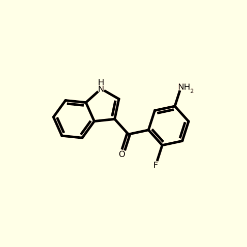 Nc1ccc(F)c(C(=O)c2c[nH]c3ccccc23)c1